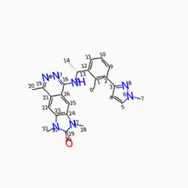 Cc1c(-c2ccn(C)n2)cccc1[C@@H](C)Nc1nnc(C)c2cc3c(cc12)n(C)c(=O)n3C